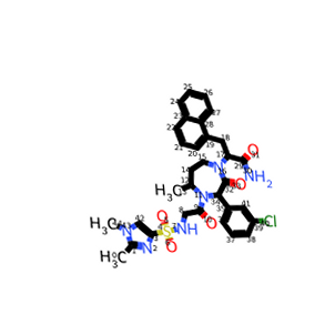 Cc1nc(S(=O)(=O)NCC(=O)N2C(C)CCN(C(Cc3cccc4ccccc34)C(N)=O)C(=O)C2c2cccc(Cl)c2)cn1C